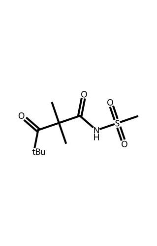 CC(C)(C)C(=O)C(C)(C)C(=O)NS(C)(=O)=O